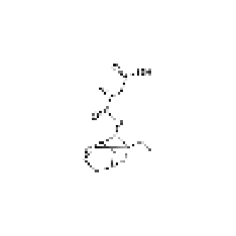 C=C(CC(=O)O)C(=O)OC1C2CC3CC(C2)CC1(CC)C3